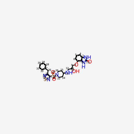 O=c1[nH]c2cccc(OC[C@H](O)CNC3CCN(S(=O)(=O)c4nsnc4Cc4ccccc4)CC3)c2[nH]1